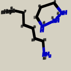 C1CNNNC1.CCCCCCCCCCCCN